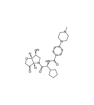 CCC[C@H]1CN(C(=O)[C@@H](NC(=O)c2ccc(N3CCN(C)CC3)cc2)C2CCCC2)[C@@H]2C(=O)CO[C@H]12